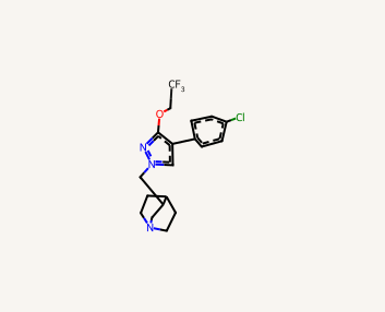 FC(F)(F)COc1nn(CC2CN3CCC2CC3)cc1-c1ccc(Cl)cc1